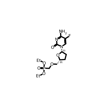 CCOP(=O)(COC[C@H]1CC[C@@H](n2cc(F)c(N)nc2=O)O1)OCC